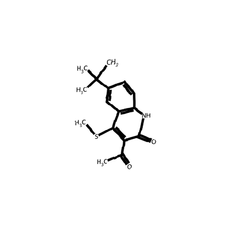 CSc1c(C(C)=O)c(=O)[nH]c2ccc(C(C)(C)C)cc12